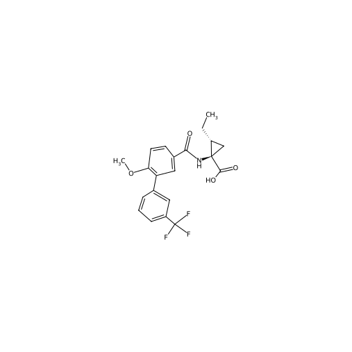 CC[C@@H]1C[C@]1(NC(=O)c1ccc(OC)c(-c2cccc(C(F)(F)F)c2)c1)C(=O)O